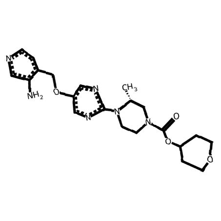 C[C@@H]1CN(C(=O)OC2CCOCC2)CCN1c1ncc(OCc2ccncc2N)cn1